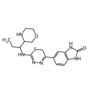 CCC(NC1=NN=C(c2ccc3[nH]c(=O)[nH]c3c2)CS1)C1COCCN1